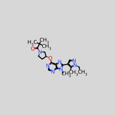 CCn1ncc(-c2nc3c(O[C@H]4CCN(C(=O)C(C)(C)C)C4)ncnc3n2C)c1C